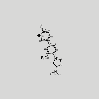 CN(C)[C@H]1CCN(c2ccc(-c3ccc(=O)[nH]n3)cc2C(F)(F)F)C1